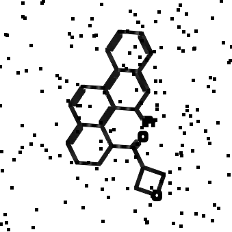 CC(C)C1C=c2ccccc2=c2ccc3c(c21)C(C(=O)C1COC1)CCC=3